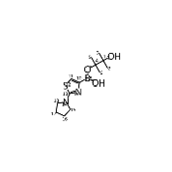 CC(C)(O)C(C)(C)OB(O)c1csc(N2CCCC2)n1